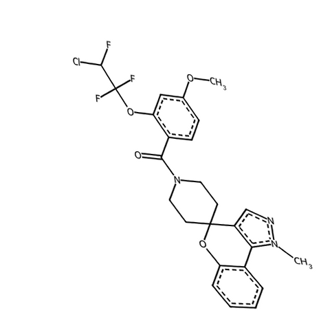 COc1ccc(C(=O)N2CCC3(CC2)Oc2ccccc2-c2c3cnn2C)c(OC(F)(F)C(F)Cl)c1